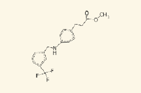 COC(=O)CCc1ccc(NCc2cccc(C(F)(F)F)c2)cc1